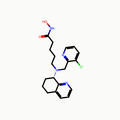 O=C(CCCCN(Cc1ncccc1Cl)[C@H]1CCCc2cccnc21)NO